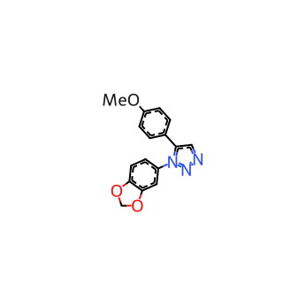 COc1ccc(-c2cnnn2-c2ccc3c(c2)OCO3)cc1